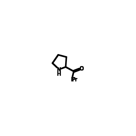 CC(C)C(=O)C1CCCN1